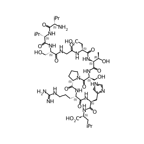 CC(C)C[C@H](NC(=O)[C@H](Cc1c[nH]cn1)NC(=O)[C@H](CCCNC(=N)N)NC(=O)[C@@H]1CCCN1C(=O)[C@H](CO)NC(=O)[C@@H](NC(=O)[C@H](CC(=O)O)NC(=O)CNC(=O)[C@H](CO)NC(=O)[C@@H](NC(=O)[C@@H](N)C(C)C)C(C)C)[C@@H](C)O)C(=O)O